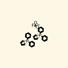 [O]=[Fe+2]=[O].c1ccc(P(c2ccccc2)[c-]2cccc2)cc1.c1ccc(P(c2ccccc2)[c-]2cccc2)cc1